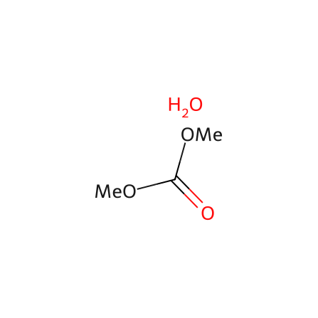 COC(=O)OC.O